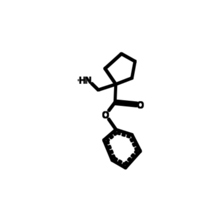 [NH]CC1(C(=O)Oc2ccccc2)CCCC1